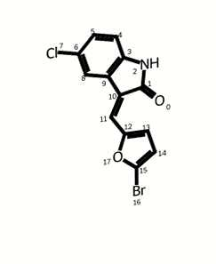 O=C1Nc2ccc(Cl)cc2C1=Cc1ccc(Br)o1